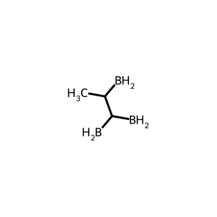 BC(B)C(B)C